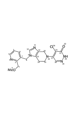 COCc1ncccc1Cn1cnc2c1CCN(c1cn[nH]c(=O)c1Cl)C2